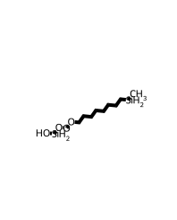 C[SiH2]CCCCCCCCOOO[SiH2]O